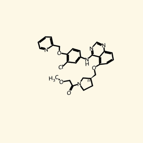 COCC(=O)N1CC[C@H](COc2cccc3ncnc(Nc4ccc(OCc5ccccn5)c(Cl)c4)c23)C1